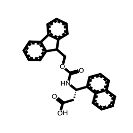 O=C(O)C[C@H](NC(=O)OCC1c2ccccc2-c2ccccc21)c1cccc2ccccc12